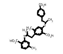 Cc1ccc(C(=O)O)c(SC(C)Cc2cc(C(=O)O)c(SC(C)Cc3ccc(C(=O)O)cc3)cc2C)c1